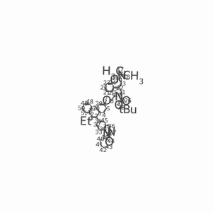 CC/C(=C(/c1ccc(OCCN(C/C(=C/C(=O)N(C)C)c2ccccc2)C(=O)OC(C)(C)C)cc1)c1ccc2c(cnn2C2CCCCO2)c1)c1ccccc1